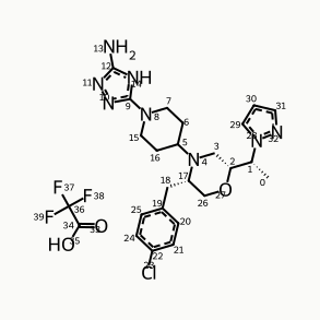 C[C@H]([C@H]1CN(C2CCN(c3nnc(N)[nH]3)CC2)[C@@H](Cc2ccc(Cl)cc2)CO1)n1cccn1.O=C(O)C(F)(F)F